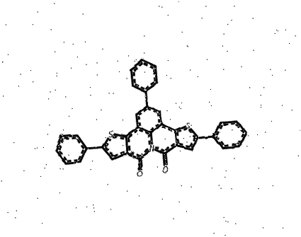 O=c1c2cc(-c3ccccc3)sc2c2cc(-c3ccccc3)cc3c4sc(-c5ccccc5)cc4c(=O)n1c23